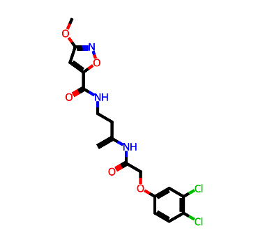 C=C(CCNC(=O)c1cc(OC)no1)NC(=O)COc1ccc(Cl)c(Cl)c1